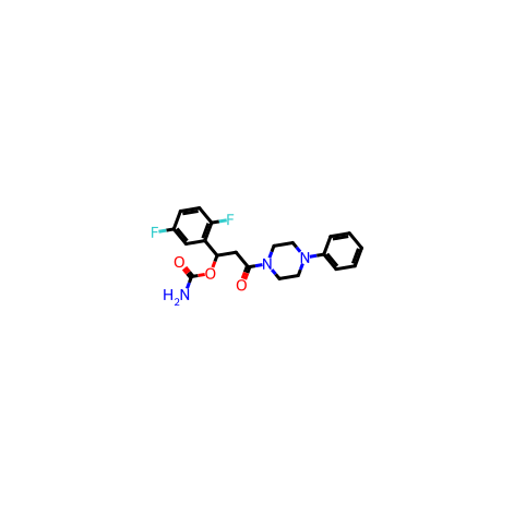 NC(=O)OC(CC(=O)N1CCN(c2ccccc2)CC1)c1cc(F)ccc1F